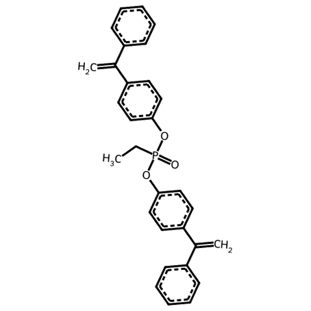 C=C(c1ccccc1)c1ccc(OP(=O)(CC)Oc2ccc(C(=C)c3ccccc3)cc2)cc1